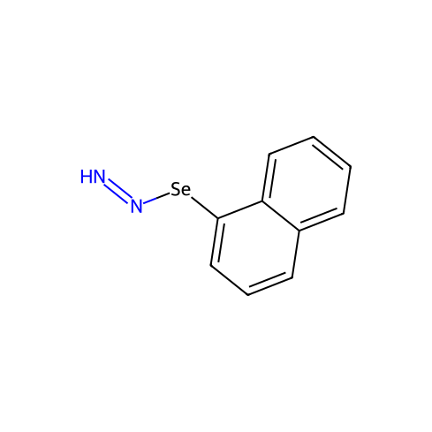 N=N[Se]c1cccc2ccccc12